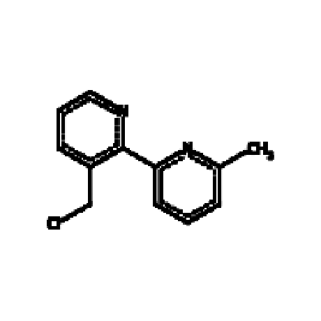 Cc1cccc(-c2ncccc2CCl)n1